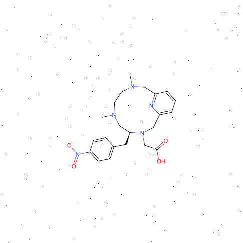 CN1CCN(C)C[C@H](Cc2ccc([N+](=O)[O-])cc2)N(CC(=O)O)Cc2cccc(n2)C1